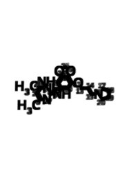 CC1=CC(C)(N)NC(Nc2cc(OCCCN3CCCC3)c3c(c2)OCO3)=N1